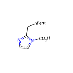 CCCCCCc1nccn1C(=O)O